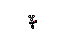 C1=CCCC(N(c2ccccc2)c2ccc(-n3c4ccccc4c4c(-c5ccc6ccccc6c5)cc5c6ccccc6oc5c43)cc2)=C1